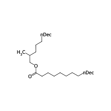 CCCCCCCCCCCCCCCCCC(=O)OCC(C)CCCCCCCCCCCCC